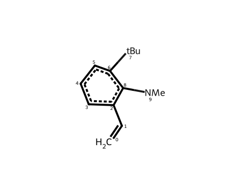 C=Cc1cccc(C(C)(C)C)c1NC